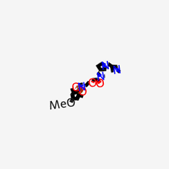 COc1cc(C)c(S(=O)(=O)N(C)CCOCC(=O)N(C)C[C@@H]2CCN(CC3CN(C)C3)C2)c(C)c1